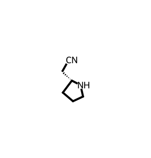 N#CC[C@H]1CCCN1